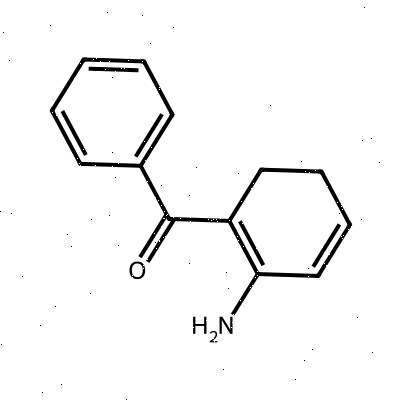 NC1=C(C(=O)c2ccccc2)CCC=C1